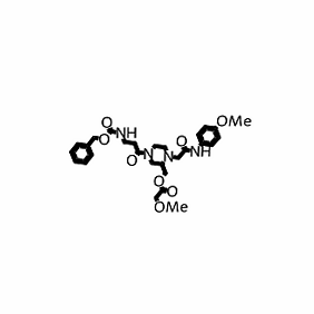 COCC(=O)OCC1CN(C(=O)CCNC(=O)OCc2ccccc2)CCN1CC(=O)Nc1ccc(OC)cc1